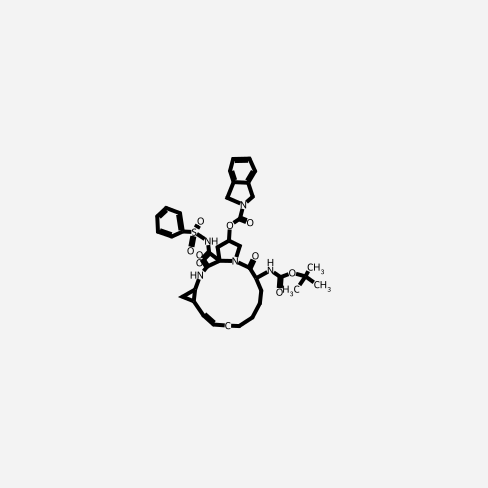 CC(C)(C)OC(=O)NC1CCCCCC=CC2CC2NC(=O)C2(C(=O)NS(=O)(=O)c3ccccc3)CC(OC(=O)N3Cc4ccccc4C3)CN2C1=O